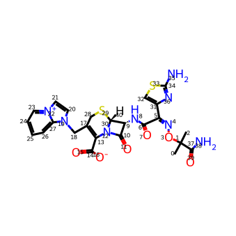 CC(C)(O/N=C(\C(=O)N[C@@H]1C(=O)N2C(C(=O)[O-])=C(Cn3cc[n+]4ccccc34)CS[C@H]12)c1csc(N)n1)C(N)=O